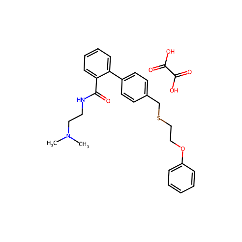 CN(C)CCNC(=O)c1ccccc1-c1ccc(CSCCOc2ccccc2)cc1.O=C(O)C(=O)O